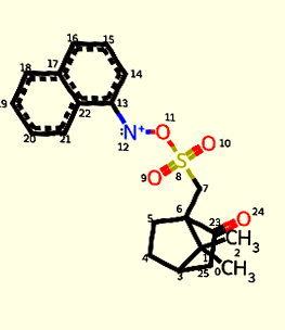 CC1(C)C2CCC1(CS(=O)(=O)O[N+]c1cccc3ccccc13)C(=O)C2